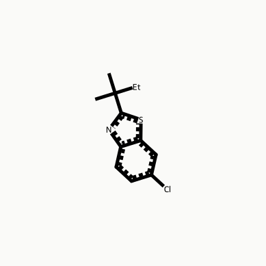 CCC(C)(C)c1nc2ccc(Cl)cc2s1